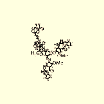 COc1cc2c(cc1OCc1cc(COc3cc4c(cc3OC)C(=O)N3c5ccccc5C[C@H]3CN4)cc(N(CNC(=O)NCCSCC(=O)ON3C(=O)CCC3=O)C(=O)C(C)(C)CCOC(C)(C)C)c1)N=C[C@@H]1Cc3ccccc3N1C2=O